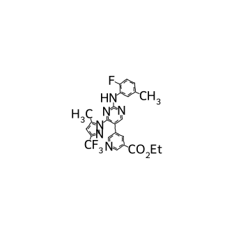 CCOC(=O)c1cncc(-c2cnc(Nc3cc(C)ccc3F)nc2-n2nc(C(F)(F)F)cc2C)c1